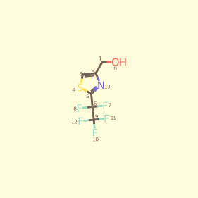 OCc1csc(C(F)(F)C(F)(F)F)n1